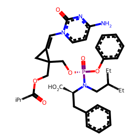 CCC(CC)CN([C@@H](Cc1ccccc1)C(=O)O)[P@](=O)(OCC1(COC(=O)C(C)C)C/C1=C/n1ccc(N)nc1=O)Oc1ccccc1